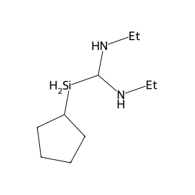 CCNC(NCC)[SiH2]C1CCCC1